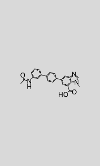 CC(=O)Nc1cccc(-c2ccc(-c3cc(C(=O)O)c4c(c3)ncn4C)cc2)c1